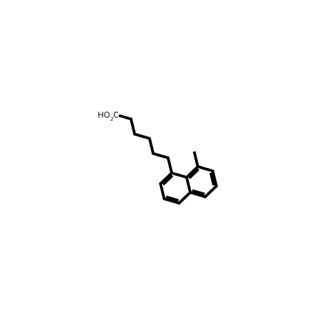 Cc1cccc2cccc(CCCCCC(=O)O)c12